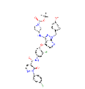 COc1ccc(Cn2nc(NC3CCN(C(=O)OC(C)(C)C)C3)c3c(Oc4ccc(NC(=O)c5ccnn(-c6ccc(F)cc6)c5=O)cc4F)ccnc32)cc1